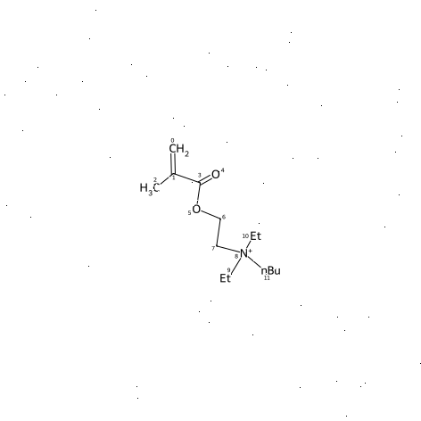 C=C(C)C(=O)OCC[N+](CC)(CC)CCCC